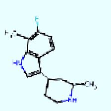 Cc1c(F)ccc2c([C@H]3CCN[C@H](C)C3)c[nH]c12